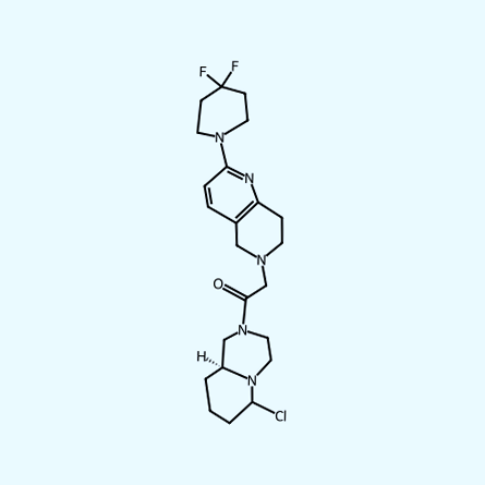 O=C(CN1CCc2nc(N3CCC(F)(F)CC3)ccc2C1)N1CCN2C(Cl)CCC[C@H]2C1